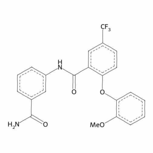 COc1ccccc1Oc1ccc(C(F)(F)F)cc1C(=O)Nc1cccc(C(N)=O)c1